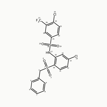 O=S(=O)(Cc1ccccc1)c1ccc(Cl)cc1NS(=O)(=O)c1ccc(Cl)c(C(F)(F)F)c1